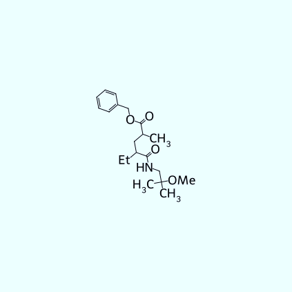 CCC(CC(C)C(=O)OCc1ccccc1)C(=O)NCC(C)(C)OC